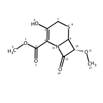 COC(=O)C1=C(O)CSC2[C@H](OC)C(=O)N12